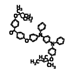 CCCC(C)(C)Oc1ccc(N(c2ccccc2)c2ccc(N(c3ccccc3)c3ccc(Oc4ccc(C(=O)c5ccc(OC(C)(CC)CC)cc5)cc4)cc3)cc2)cc1